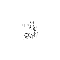 Cn1cc(S(=O)(=O)NCc2nonc2/C(=N/O)Nc2ccc(F)c(Cl)c2)c(=O)n(C)c1=O